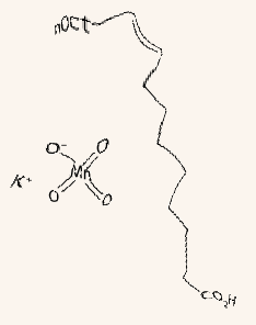 CCCCCCCC/C=C\CCCCCCCC(=O)O.[K+].[O]=[Mn](=[O])(=[O])[O-]